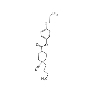 CCCCC1(C#N)CCC(C(=O)Oc2ccc(OCCC)cc2)CC1